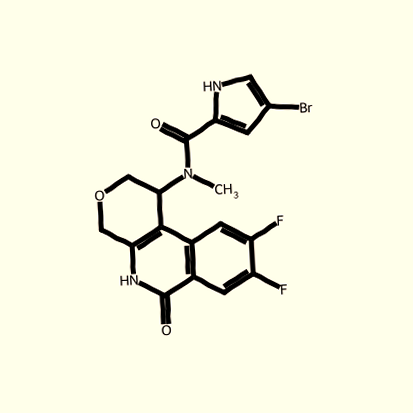 CN(C(=O)c1cc(Br)c[nH]1)C1COCc2[nH]c(=O)c3cc(F)c(F)cc3c21